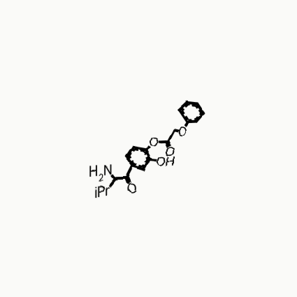 CC(C)C(N)C(=O)c1ccc(OC(=O)COc2ccccc2)c(O)c1